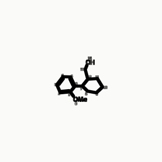 COc1ccccc1C1CCCCC1CO